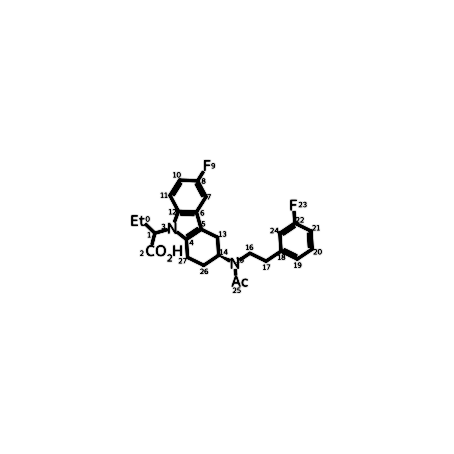 CCC(C(=O)O)n1c2c(c3cc(F)ccc31)C[C@@H](N(CCc1cccc(F)c1)C(C)=O)CC2